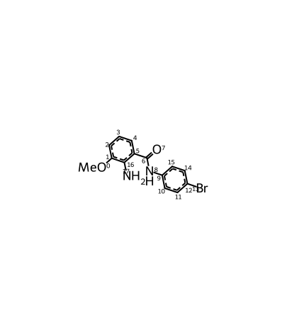 COc1cccc(C(=O)Nc2ccc(Br)cc2)c1N